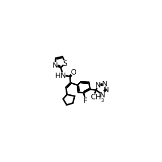 CC1(c2ccc(/C(=C\C3CCCC3)C(=O)Nc3nccs3)cc2F)N=NN=N1